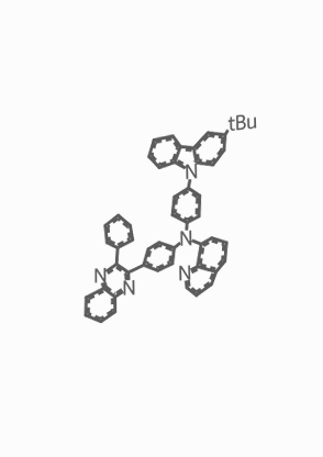 CC(C)(C)c1ccc2c(c1)c1ccccc1n2-c1ccc(N(c2ccc(-c3nc4ccccc4nc3-c3ccccc3)cc2)c2cccc3cccnc23)cc1